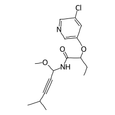 CCC(Oc1cncc(Cl)c1)C(=O)NC(C#CC(C)C)OC